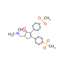 CN(C)CC1CC(c2ccc(S(C)(=O)=O)cc2)=C(c2ccc(S(C)(=O)=O)cc2)C1=O